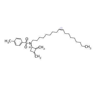 C=C1C[C@@H](N(CCCCCCCC/C=C\CCCCCCCC)S(=O)(=O)c2ccc(C)cc2)C1=C